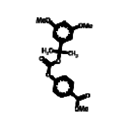 COC(=O)c1ccc(OC(=O)OC(C)(C)c2cc(OC)cc(OC)c2)cc1